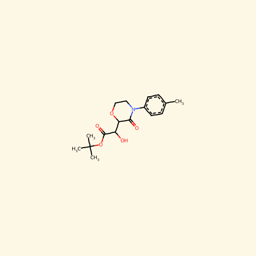 Cc1ccc(N2CCOC(C(O)C(=O)OC(C)(C)C)C2=O)cc1